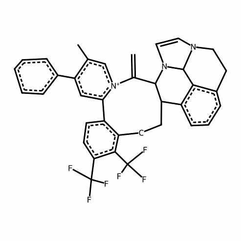 C=C1C2C(CCc3c(ccc(C(F)(F)F)c3C(F)(F)F)-c3cc(-c4ccccc4)c(C)c[n+]31)c1cccc3c1C1N(C=CN21)CC3